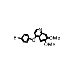 COc1cc2nccc(Oc3ccc(Br)cc3)c2cc1OC